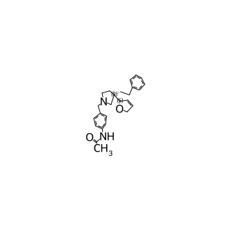 CC(=O)Nc1ccc(CN2CC[C@@](CCc3ccccc3)([C@@H]3C=CCO3)C2)cc1